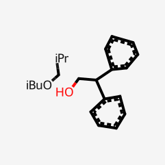 CC(C)COCC(C)C.OCC(c1ccccc1)c1ccccc1